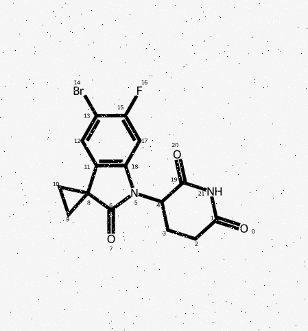 O=C1CCC(N2C(=O)C3(CC3)c3cc(Br)c(F)cc32)C(=O)N1